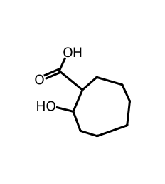 O=C(O)C1CCCCCCC1O